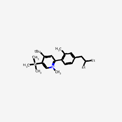 CCC(CC)Cc1ccc(-c2cc(C(C)(C)C)c([Si](C)(C)C)c[n+]2C)c(C)c1